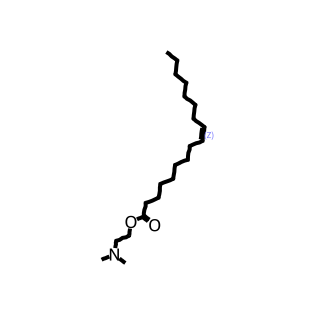 CCCCCCC/C=C\CCCCCCCC(=O)OCCN(C)C